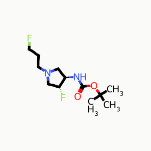 CC(C)(C)OC(=O)N[C@@H]1CN(CCCF)C[C@H]1F